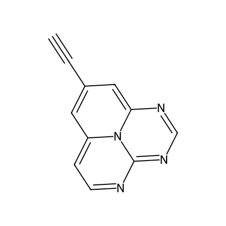 C#CC1=CC2=CC=NC3=NC=NC(=C1)N23